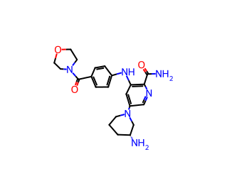 NC(=O)c1ncc(N2CCC[C@@H](N)C2)cc1Nc1ccc(C(=O)N2CCOCC2)cc1